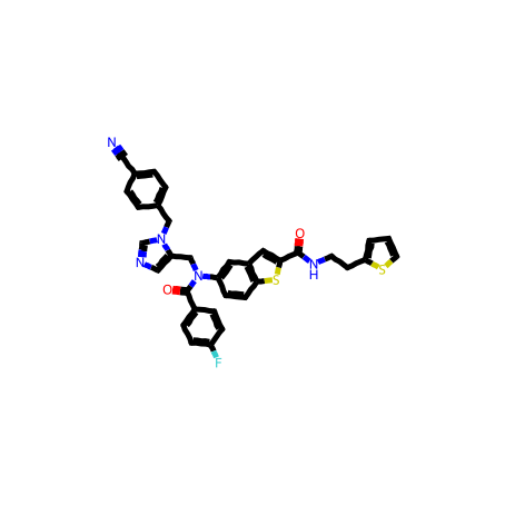 N#Cc1ccc(Cn2cncc2CN(C(=O)c2ccc(F)cc2)c2ccc3sc(C(=O)NCCc4cccs4)cc3c2)cc1